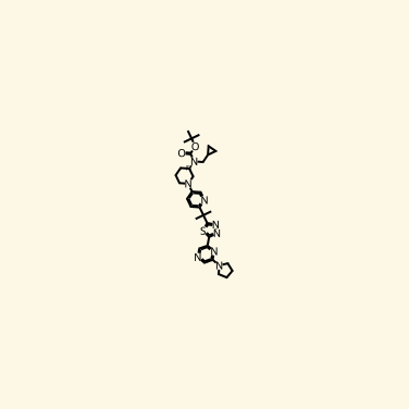 CC(C)(C)OC(=O)N(CC1CC1)[C@@H]1CCCN(c2ccc(C(C)(C)c3nnc(-c4cncc(N5CCCC5)n4)s3)nc2)C1